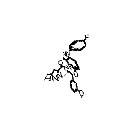 COc1cccc([C@@H](Oc2ccc3c(cnn3-c3ccc(F)cc3)c2)[C@H](C)NC(=O)C2=NNC(C)C2)c1